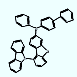 c1ccc(-c2ccc(N(c3ccccc3)c3ccc4c(c3)sc3cccc(-n5c6ccccc6c6ccccc65)c34)cc2)cc1